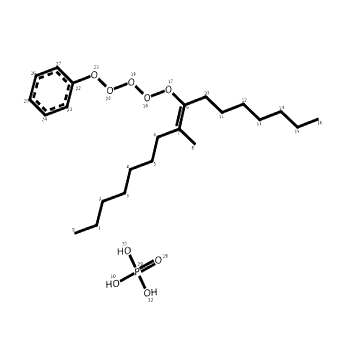 CCCCCCCC(C)=C(CCCCCCC)OOOOOc1ccccc1.O=P(O)(O)O